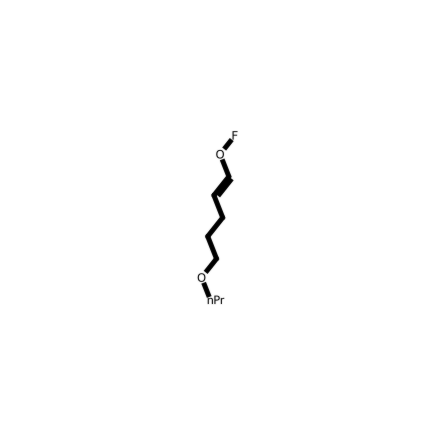 CCCOCCCC=COF